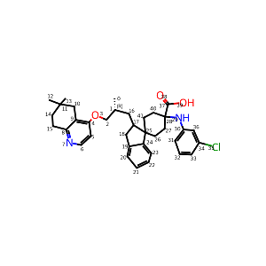 C[C@@H](COc1ccnc2c1CC(C)(C)CC2)CC1Cc2ccccc2C12CCC(Nc1cccc(Cl)c1)(C(=O)O)CC2